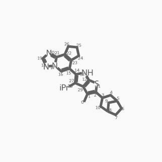 Cc1c(C2CC3CCC(C3)C2)sc2[nH]c(-c3cn4ncnc4c4c3CCC4)c(C(C)C)c12